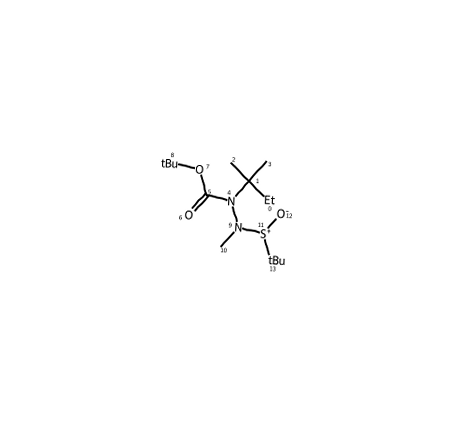 CCC(C)(C)N(C(=O)OC(C)(C)C)N(C)[S+]([O-])C(C)(C)C